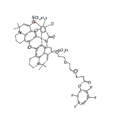 CC1(C)C=C(CS(=O)(=O)O)c2cc3c(c4c2N1CCC4)Oc1c(cc2c4c1CCCN4C(C)(C)C=C2CS(=O)(=O)O)C31c2c(Cl)c(Cl)c(Cl)c(Cl)c2C(=O)N1OCCOCCOCCOCCC(=O)Oc1c(F)c(F)cc(F)c1F